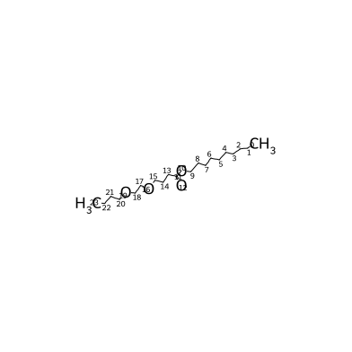 CCCCCCCCCCOC(=O)CCCOCCOCCCC